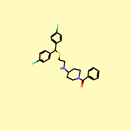 O=C(c1ccccc1)N1CCC(NCCSC(c2ccc(F)cc2)c2ccc(F)cc2)CC1